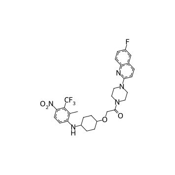 Cc1c(NC2CCC(OCC(=O)N3CCN(c4ccc5cc(F)ccc5n4)CC3)CC2)ccc([N+](=O)[O-])c1C(F)(F)F